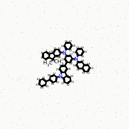 CC1(C)c2ccccc2-c2ccc(N(c3ccccc3)c3cc(-c4ccc5c(c4)c4ccccc4n5-c4ccc(-c5ccccc5)cc4)cc(N(c4ccccc4)c4ccc5ccccc5c4)c3)cc21